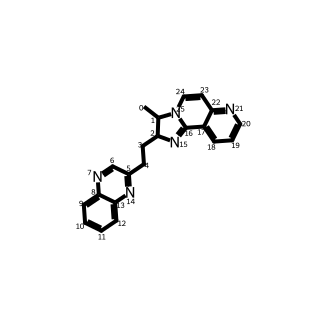 CC1C(CCc2cnc3ccccc3n2)N=C2c3cccnc3C=CN21